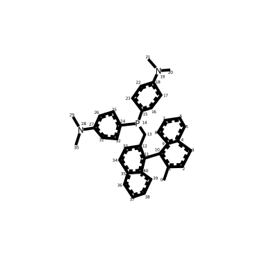 Cc1ccc2ccccc2c1-c1c(CP(c2ccc(N(C)C)cc2)c2ccc(N(C)C)cc2)ccc2ccccc12